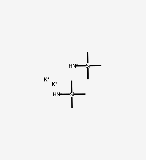 C[Si](C)(C)[NH-].C[Si](C)(C)[NH-].[K+].[K+]